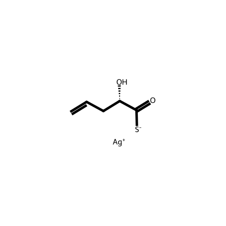 C=CC[C@H](O)C(=O)[S-].[Ag+]